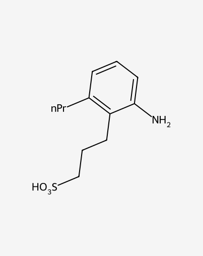 CCCc1cccc(N)c1CCCS(=O)(=O)O